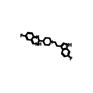 Fc1ccc2c(c1)=CNC(C1CCN(CCc3c[nH]c4cc(F)ccc34)CC1)N=2